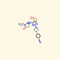 CN1C[C@@H](Nc2nc(N3CCC(c4ccc(C#N)cc4)CC3)nc3c2[S+]([O-])CC3)CCC1=O